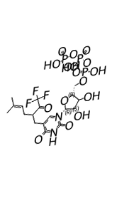 CC(C)=CCC(Cc1cn([C@@H]2O[C@H](COP(=O)(O)OP(=O)(O)OP(=O)(O)O)C(O)[C@@H]2O)c(=O)[nH]c1=O)C(=O)C(F)(F)F